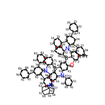 CC(C)c1cc2c3c(c1)N(c1c(-c4ccccc4)cc(-c4ccccc4)cc1-c1ccccc1)c1ccccc1B3c1cc3c(cc1O2)N(c1ccccc1)c1cc(N2C4CC5CC(C4)CC2C5)cc2c1B3c1ccccc1N2c1c(-c2ccccc2)cc(-c2ccccc2)cc1-c1ccccc1